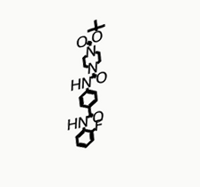 CC(C)(C)OC(=O)N1CCN(C(=O)Nc2ccc(C(=O)Nc3ccccc3F)cc2)CC1